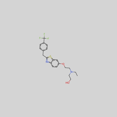 CCN(CCO)CCOc1ccc2nc(Cc3ccc(C(F)(F)F)cc3)sc2c1